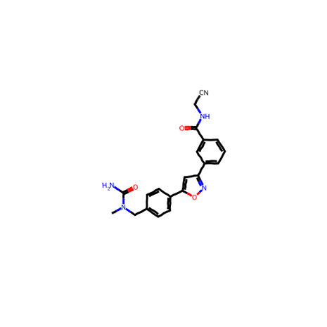 CN(Cc1ccc(-c2cc(-c3cccc(C(=O)NCC#N)c3)no2)cc1)C(N)=O